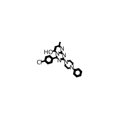 CC1=NC2=NC(N3CCN(c4ccccc4)CC3)=NC(c3ccc(Cl)cc3)N2C(O)=C1